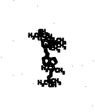 C=C1/C(=C\C=C2CCC[C@@]3(C)C2CC[C@@H]3[C@@H](C)CCCC(C)(C)O)C[C@@H](O[Si](C)(C)C)[C@@H](C)[C@@H]1O[Si](C)(C)C